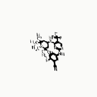 CN1C(C)(C)CC(Nc2nc(Nc3ccc(F)c(C#N)c3)ncc2C(F)(F)F)CC1(C)C